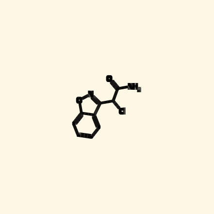 NC(=O)C(Cl)c1noc2ccccc12